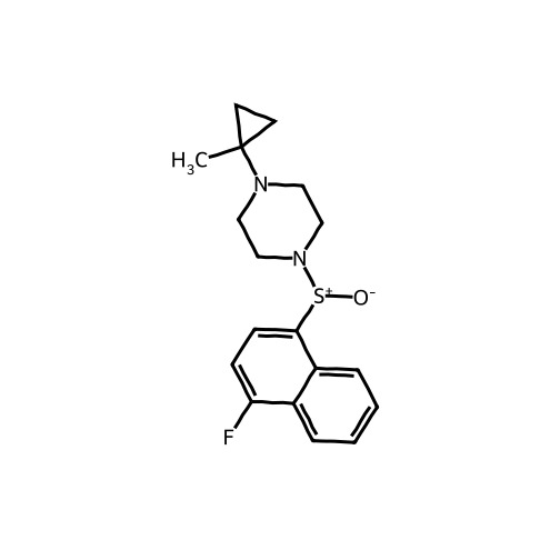 CC1(N2CCN([S+]([O-])c3ccc(F)c4ccccc34)CC2)CC1